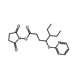 CCC(CC)C(CCC(=O)ON1C(=O)CCC1=O)Sc1ccccn1